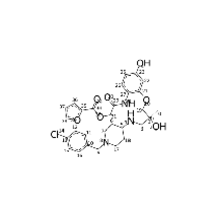 C[C@](O)(CNC1CCN(Cc2ccc(Cl)cc2)CC1)COc1cc(O)ccc1NC(=O)COC(=O)c1ccco1